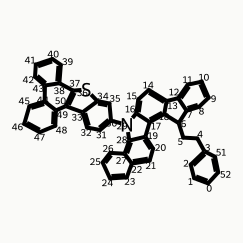 c1ccc(CCC2c3ccccc3-c3ccc4c(c32)c2ccc3ccccc3c2n4-c2ccc3c(c2)sc2c4ccccc4c4ccccc4c32)cc1